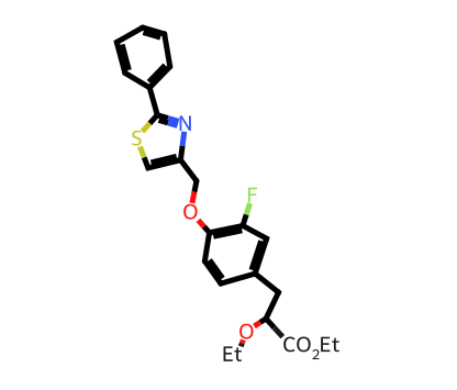 CCOC(=O)C(Cc1ccc(OCc2csc(-c3ccccc3)n2)c(F)c1)OCC